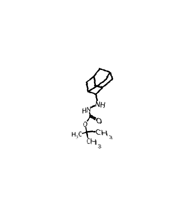 CC(C)(C)OC(=O)NNC1C2CC3CC(C2)CC1C3